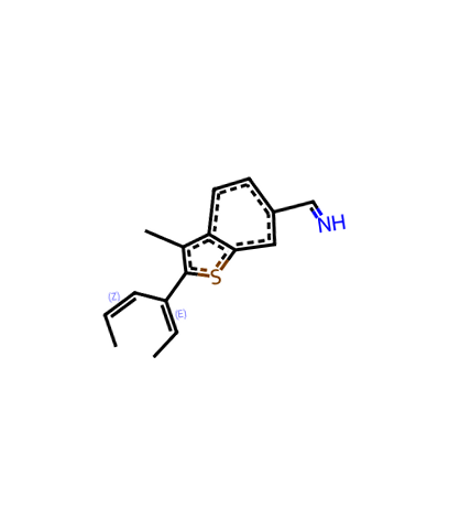 C/C=C\C(=C/C)c1sc2cc(C=N)ccc2c1C